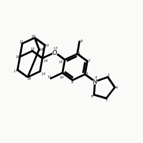 Cc1cc(N2CCCC2)cc(C)c1OC12CC3CC(CC(C3)C1)C2